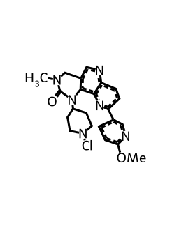 COc1ccc(-c2ccc3ncc4c(c3n2)N(C2CCN(Cl)CC2)C(=O)N(C)C4)cn1